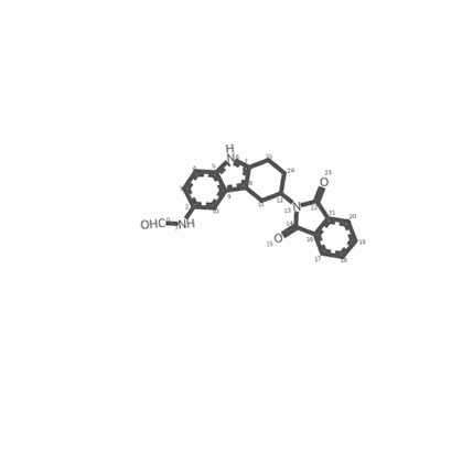 O=CNc1ccc2[nH]c3c(c2c1)CC(N1C(=O)c2ccccc2C1=O)CC3